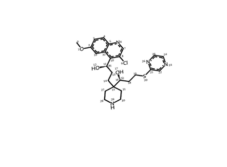 COc1ccc2ncc(Cl)c([C@H](O)CCC3([C@@H](O)CCSc4cnccn4)CCNCC3)c2c1